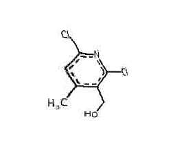 Cc1cc(Cl)nc(Cl)c1CO